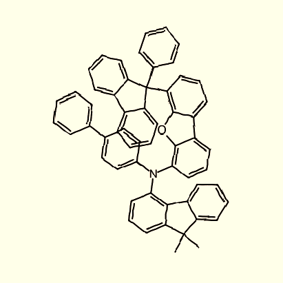 CC1(C)c2ccccc2-c2c(N(c3ccc(-c4ccccc4)cc3)c3cccc4c3oc3c(C5(c6ccccc6)c6ccccc6-c6ccccc65)cccc34)cccc21